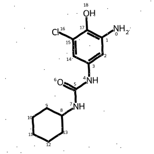 Nc1cc(NC(=O)NC2CCCCC2)cc(Cl)c1O